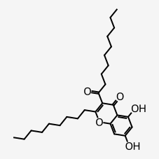 CCCCCCCCCC(=O)c1c(CCCCCCCCC)oc2cc(O)cc(O)c2c1=O